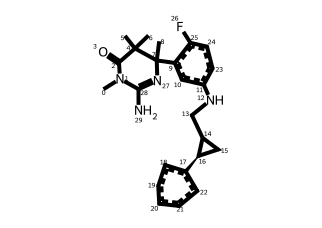 CN1C(=O)C(C)(C)C(C)(c2cc(NCC3C[C@H]3c3ccccc3)ccc2F)N=C1N